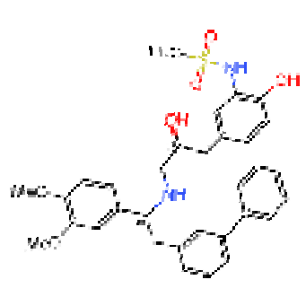 COc1ccc([C@@H](Cc2cccc(-c3ccccc3)c2)NC[C@@H](O)Cc2ccc(O)c(NS(C)(=O)=O)c2)cc1OC